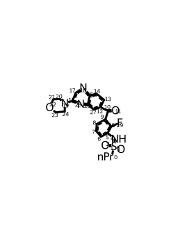 CCCS(=O)(=O)Nc1cccc(C(=O)c2ccc3ncc(N4CCOCC4)nc3c2)c1F